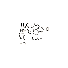 CC(Oc1cc(C(=O)O)cc2cc(Cl)cc(Cl)c12)C(=O)Nc1cccc(CO)c1